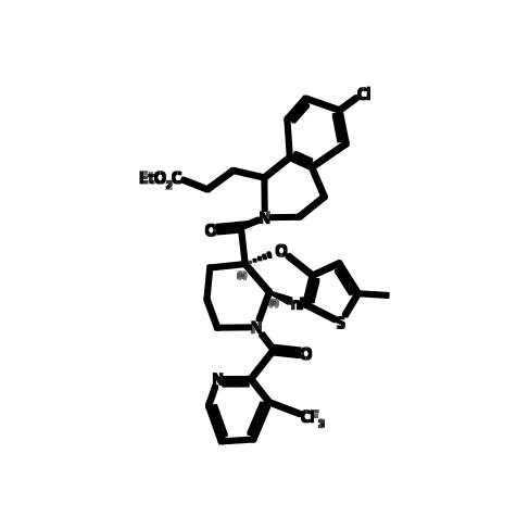 CCC[C@H]1N(C(=O)c2ncccc2C(F)(F)F)CCC[C@@]1(Oc1csc(C)c1)C(=O)N1CCc2cc(Cl)ccc2C1CCC(=O)OCC